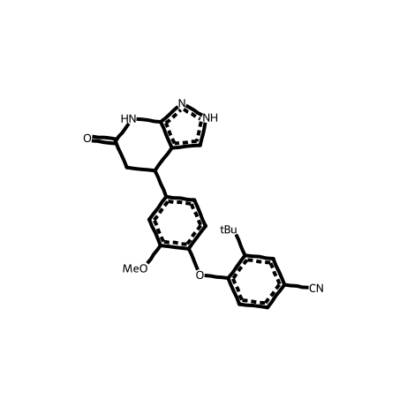 COc1cc(C2CC(=O)Nc3n[nH]cc32)ccc1Oc1ccc(C#N)cc1C(C)(C)C